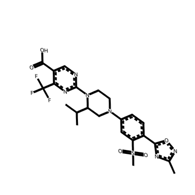 Cc1noc(-c2ccc(N3CCN(c4ncc(C(=O)O)c(C(F)(F)F)n4)C(C(C)C)C3)cc2S(C)(=O)=O)n1